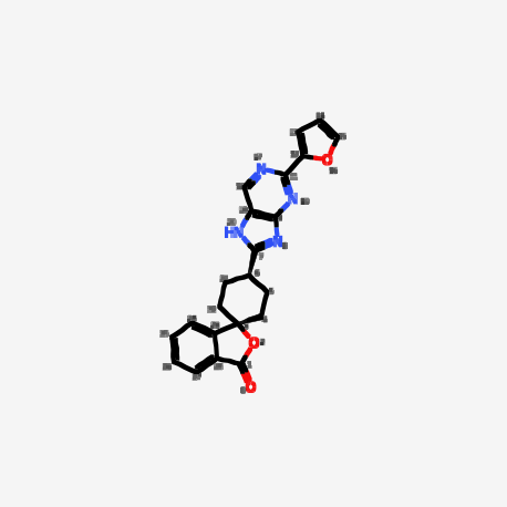 O=C1O[C@]2(CC[C@H](c3nc4nc(-c5ccco5)ncc4[nH]3)CC2)c2ccccc21